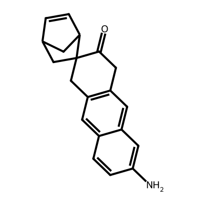 Nc1ccc2cc3c(cc2c1)CC(=O)C1(C3)CC2C=CC1C2